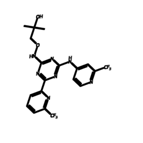 CC(C)(O)CONc1nc(Nc2ccnc(C(F)(F)F)c2)nc(-c2cccc(C(F)(F)F)n2)n1